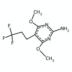 COc1nc(N)nc(OC)c1CCC(F)(F)F